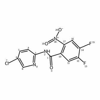 O=C(Nc1ccc(Cl)cn1)c1cc(F)c(F)cc1[N+](=O)[O-]